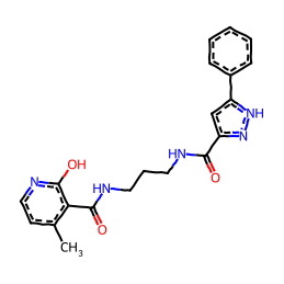 Cc1ccnc(O)c1C(=O)NCCCNC(=O)c1cc(-c2ccccc2)[nH]n1